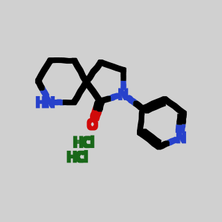 Cl.Cl.O=C1N(c2ccncc2)CCC12CCCNC2